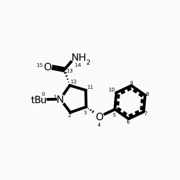 CC(C)(C)N1C[C@@H](Oc2ccccc2)C[C@H]1C(N)=O